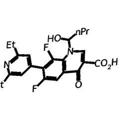 CCCC(O)n1cc(C(=O)O)c(=O)c2cc(F)c(-c3cc(CC)nc(CC)c3)c(F)c21